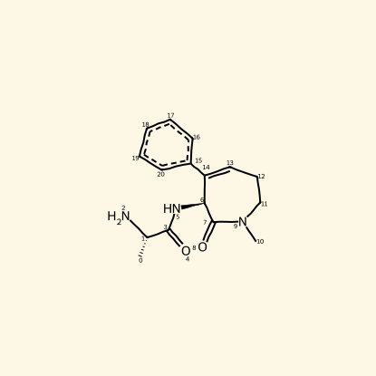 C[C@H](N)C(=O)N[C@@H]1C(=O)N(C)CCC=C1c1ccccc1